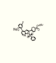 COc1ccc(F)cc1-c1ccnc2c1cc(C1=CCN(C(=O)OC(C)(C)C)CC1)n2S(=O)(=O)c1ccccc1